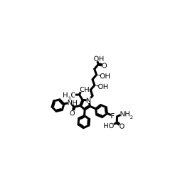 CC(C)c1c(C(=O)Nc2ccccc2)c(-c2ccccc2)c(-c2ccc(F)cc2)n1CC[C@@H](O)C[C@@H](O)CC(=O)O.NCC(=O)O